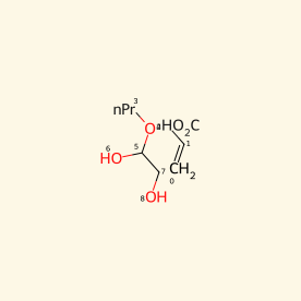 C=CC(=O)O.CCCOC(O)CO